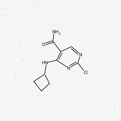 NC(=O)c1cnc(Cl)nc1NC1CCC1